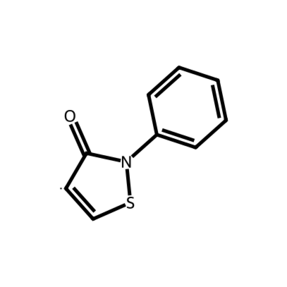 O=c1[c]csn1-c1ccccc1